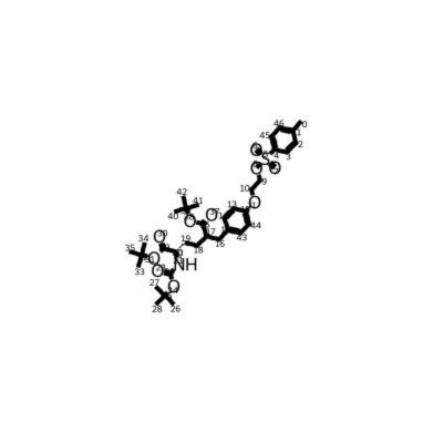 Cc1ccc(S(=O)(=O)OCCOc2ccc(CC(CC[C@H](NC(=O)OC(C)(C)C)C(=O)OC(C)(C)C)C(=O)OC(C)(C)C)cc2)cc1